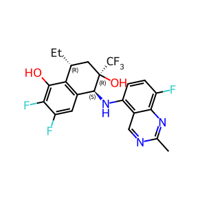 CC[C@@H]1C[C@](O)(C(F)(F)F)[C@@H](Nc2ccc(F)c3nc(C)ncc23)c2cc(F)c(F)c(O)c21